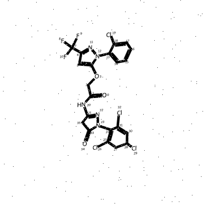 O=C(COc1cc(C(F)(F)F)nn1-c1ccccc1Cl)NC1=NN(C2=C(Cl)CC(Cl)C=C2Cl)C(=O)C1